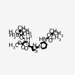 COC(=O)[C@H](CO[Si](C)(C)C(C)(C)C)NC(=O)c1csc(N2CCC[C@H](NC(=O)OC(C)(C)C)C2)n1